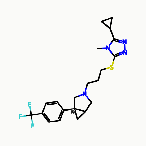 Cn1c(SCCCN2CC3C[C@]3(c3ccc(C(F)(F)F)cc3)C2)nnc1C1CC1